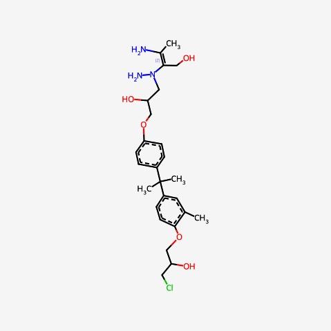 C/C(N)=C(\CO)N(N)CC(O)COc1ccc(C(C)(C)c2ccc(OCC(O)CCl)c(C)c2)cc1